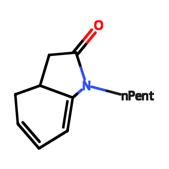 CCCCCN1C(=O)CC2CC=CC=C21